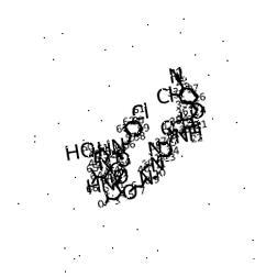 CC(C)CC(OCCN1CCN(c2ccc(C(=O)NC3C(C)(C)C(Oc4ccc(C#N)c(Cl)c4)C3(C)C)cn2)CC1)C(=O)NC(C(=O)N1C[C@H](O)C[C@H]1C(=O)NCc1ccc(Cl)cc1)C(C)C